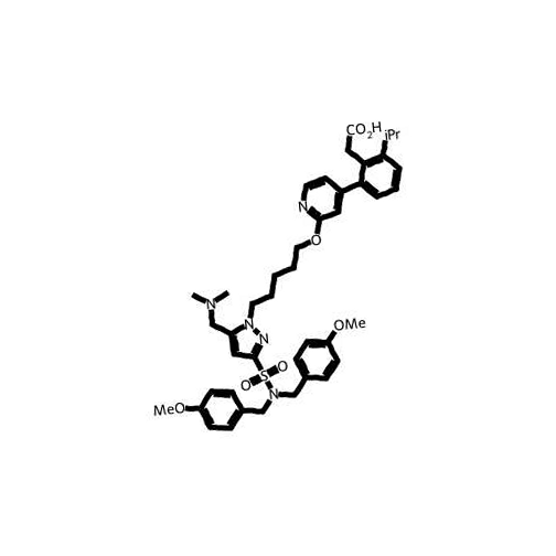 COc1ccc(CN(Cc2ccc(OC)cc2)S(=O)(=O)c2cc(CN(C)C)n(CCCCCOc3cc(-c4cccc(C(C)C)c4CC(=O)O)ccn3)n2)cc1